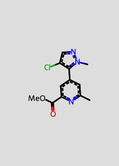 COC(=O)c1cc(-c2c(Cl)cnn2C)cc(C)n1